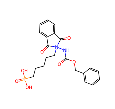 O=C(N[N+]1(CCCCCP(=O)(O)O)C(=O)c2ccccc2C1=O)OCc1ccccc1